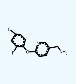 NCc1ccc(Oc2ccc(F)cc2F)nc1